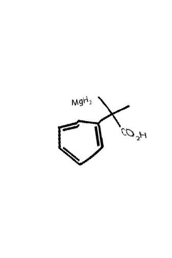 CC(C)(C(=O)O)c1ccccc1.[MgH2]